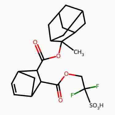 CC1(OC(=O)C2C3C=CC(C3)C2C(=O)OCC(F)(F)S(=O)(=O)O)C2CC3CC(C2)CC1C3